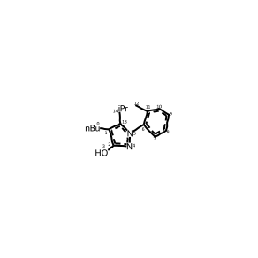 CCCCc1c(O)nn(-c2ccccc2C)c1C(C)C